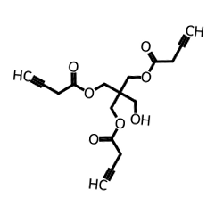 C#CCC(=O)OCC(CO)(COC(=O)CC#C)COC(=O)CC#C